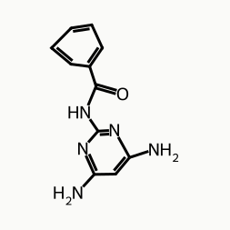 Nc1cc(N)nc(NC(=O)c2ccccc2)n1